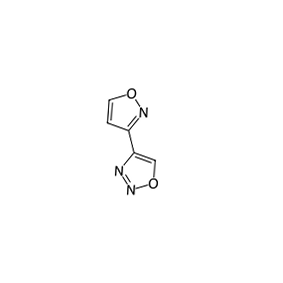 c1cc(-c2conn2)no1